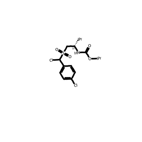 CC(C)OC(=O)N[C@H](CS(=O)(=O)C(Cl)c1ccc(Cl)cc1)C(C)C